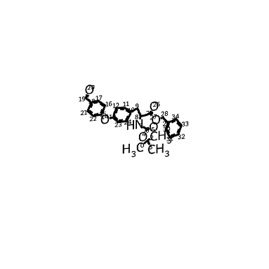 CC(C)(C)OC(=O)NC(Cc1ccc(Oc2ccc(C=O)cc2)cc1)C(=O)OCc1ccccc1